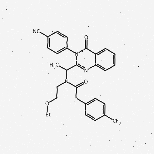 CCOCCN(C(=O)Cc1ccc(C(F)(F)F)cc1)C(C)c1nc2ccccc2c(=O)n1-c1ccc(C#N)cc1